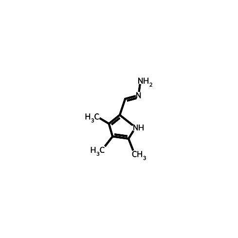 Cc1[nH]c(C=NN)c(C)c1C